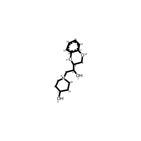 OC1CCN(CC(O)C2COc3ccccc3O2)CC1